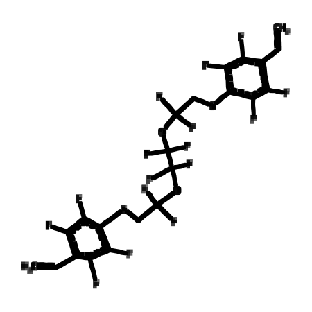 C=Cc1c(F)c(F)c(SCC(F)(F)OC(F)(F)C(F)(F)OC(F)(F)CSc2c(F)c(F)c(C=C)c(F)c2F)c(F)c1F